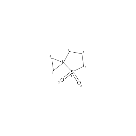 O=S1(=O)CCCC12CC2